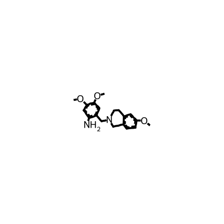 COc1ccc2c(c1)CCN(Cc1cc(OC)c(OC)cc1N)C2